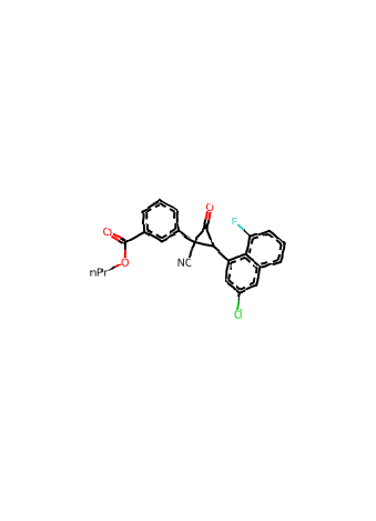 CCCOC(=O)c1cccc(C2(C#N)C(=O)C2c2cc(Cl)cc3cccc(F)c23)c1